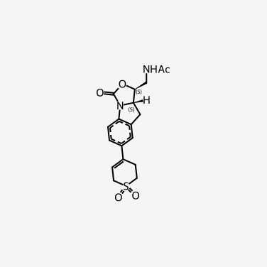 CC(=O)NC[C@@H]1OC(=O)N2c3ccc(C4=CCS(=O)(=O)CC4)cc3C[C@@H]12